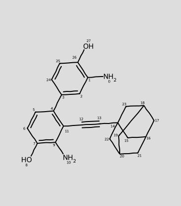 Nc1cc(-c2ccc(O)c(N)c2C#CC23CC4CC(CC(C4)C2)C3)ccc1O